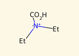 CC[N+](CC)C(=O)O